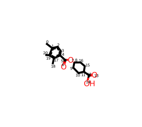 Cc1ccc(C(=O)OC2CCC(C(=O)O)CC2)c(C)c1C